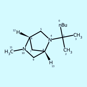 CCCCC(C)(C)N1C[C@@H]2C[C@H]1CN2C